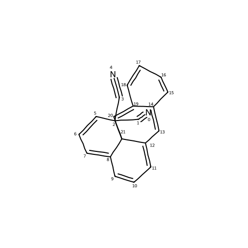 N#CC1(C#N)C=CC=C2C=CC=C3C=c4ccccc4=CC231